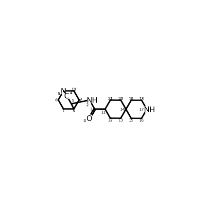 O=C(NC1CN2CCC1CC2)C1CCC2(CCNCC2)CC1